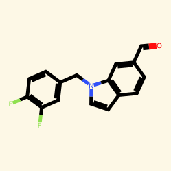 O=Cc1ccc2ccn(Cc3ccc(F)c(F)c3)c2c1